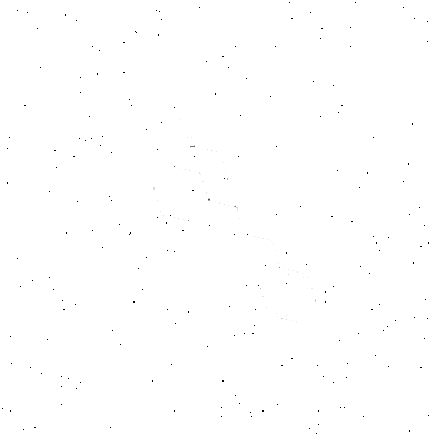 CC1CC2CC(C(=O)OCc3ccccc3)(C1)CC(C)C2=O